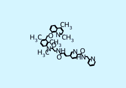 Cc1cc(C)c2cccc(OCc3c(C)ccc(N(C)C(=O)CNC(=O)C=Cc4ccc(C(=O)NCc5ccccn5)nc4)c3C)c2n1